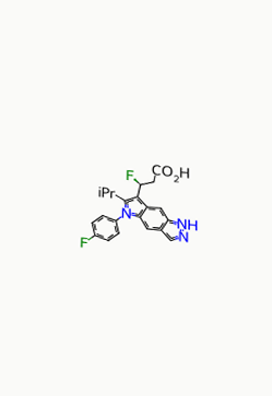 CC(C)c1c([C@@H](F)CC(=O)O)c2cc3[nH]ncc3cc2n1-c1ccc(F)cc1